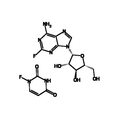 Nc1nc(F)nc2c1ncn2[C@@H]1O[C@H](CO)[C@@H](O)[C@@H]1O.O=c1ccn(F)c(=O)[nH]1